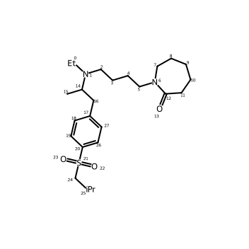 CCN(CCCCN1CCCCCC1=O)C(C)Cc1ccc(S(=O)(=O)CC(C)C)cc1